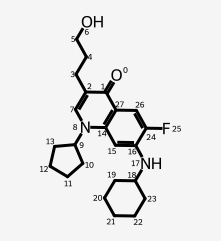 O=c1c(CCCO)cn(C2CCCC2)c2cc(NC3CCCCC3)c(F)cc12